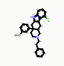 COc1cccc(C23CCN(CCc4ccccc4)CC2Cc2c([nH]c4cccc(Cl)c24)C3)c1